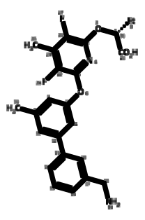 CC[C@@H](Oc1nc(Oc2cc(C)cc(-c3cccc(CN)c3)c2)c(F)c(C)c1F)C(=O)O